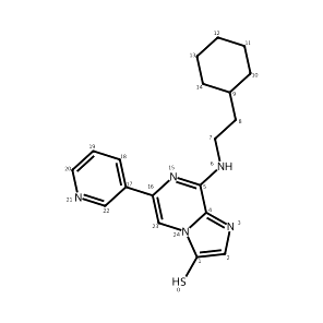 Sc1cnc2c(NCCC3CCCCC3)nc(-c3cccnc3)cn12